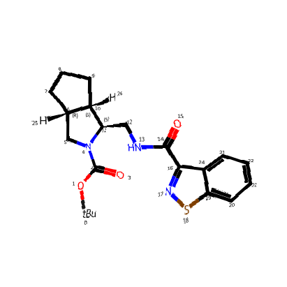 CC(C)(C)OC(=O)N1C[C@@H]2CCC[C@@H]2[C@H]1CNC(=O)c1nsc2ccccc12